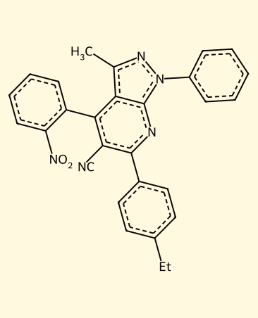 CCc1ccc(-c2nc3c(c(C)nn3-c3ccccc3)c(-c3ccccc3[N+](=O)[O-])c2C#N)cc1